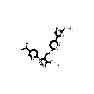 Cc1ncc(-c2ccc(OCc3c(C)nnn3-c3ccc(C(F)F)cn3)nn2)o1